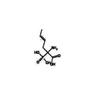 C/C=C/CC(N)(C(=O)O)P(=O)(O)O